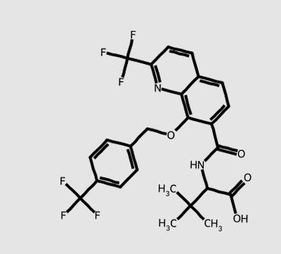 CC(C)(C)C(NC(=O)c1ccc2ccc(C(F)(F)F)nc2c1OCc1ccc(C(F)(F)F)cc1)C(=O)O